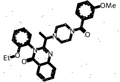 CCOc1ccccc1N1C(=O)C2C=CC=CC2N=C1C(C)N1CCN(C(=O)c2cccc(OC)c2)CC1